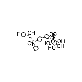 O=C1[C@H](CC[C@H](O)c2ccc(F)cc2)[C@@H](c2ccc(-c3ccc(OS(=O)(=O)C[C@@H]4OC(CO)[C@@H](O)C(O)C4O)cc3)cc2)N1c1ccccc1